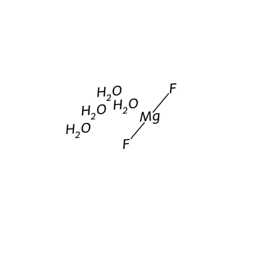 O.O.O.O.[F][Mg][F]